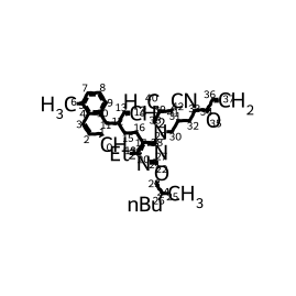 C=C/C=C\c1c(C)cccc1CC(C=C)CCc1c(CC)nc(OC[C@@H](C)CCCC)nc1N(CCCCC(=O)C=C)CC(C)CC#N